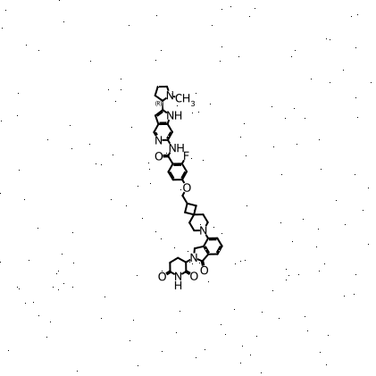 CN1CCC[C@@H]1c1cc2cnc(NC(=O)c3ccc(OCC4CC5(CCN(c6cccc7c6CN(C6CCC(=O)NC6=O)C7=O)CC5)C4)cc3F)cc2[nH]1